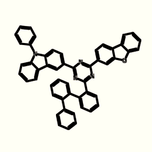 c1ccc(-c2ccccc2-c2ccccc2-c2nc(-c3ccc4c(c3)oc3ccccc34)nc(-c3ccc4c(c3)c3ccccc3n4-c3ccccc3)n2)cc1